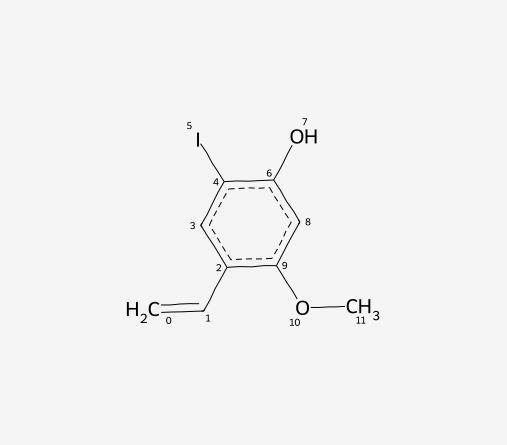 C=Cc1cc(I)c(O)cc1OC